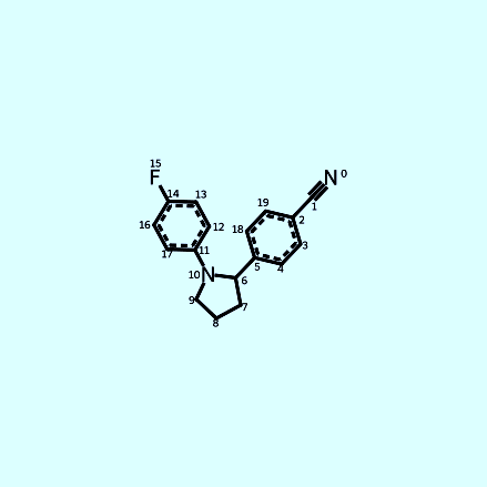 N#Cc1ccc(C2CCCN2c2ccc(F)cc2)cc1